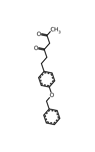 CC(=O)CC(=O)CCc1ccc(OCc2ccccc2)cc1